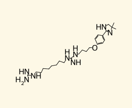 CC1(C)CNC(c2ccc(OCCCCNC(=N)NCCCCCCCCNC(=N)N)cc2)=N1